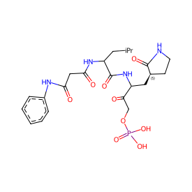 CC(C)CC(NC(=O)CC(=O)Nc1ccccc1)C(=O)NC(C[C@@H]1CCNC1=O)C(=O)COP(=O)(O)O